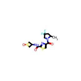 CC1CC(F)(F)CN1C(=O)c1csc(C(=O)NC2C[S+]([O-])C2)n1